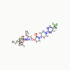 C[C@@H](CO[C@@H]1CCN(C2CCN(c3ncc(C(F)(F)F)cn3)CC2)C1=O)NC(=O)OC(C)(C)C